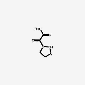 O=CC(=O)C(=O)N1CCSN1